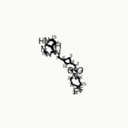 O=S(=O)(CC1CC(CNc2ncnc3[nH]ccc23)C1)N1CCC(F)(F)CC1